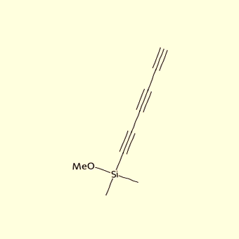 C#CC#CC#C[Si](C)(C)OC